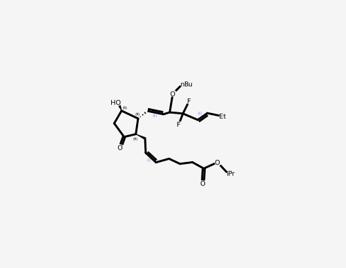 CC/C=C/C(F)(F)C(/C=C/[C@H]1[C@H](O)CC(=O)[C@@H]1C/C=C\CCCC(=O)OC(C)C)OCCCC